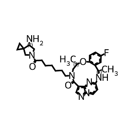 C[C@H]1CN(CCCCCCC(=O)N2C[C@H](N)C3(CC3)C2)C(=O)c2cnn3ccc(nc23)N[C@H](C)c2cc(F)ccc2O1